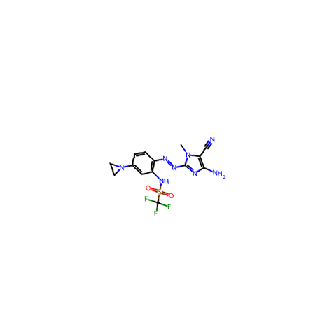 Cn1c(N=Nc2ccc(N3CC3)cc2NS(=O)(=O)C(F)(F)F)nc(N)c1C#N